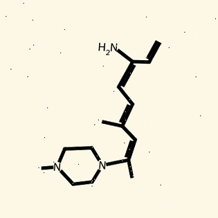 C=C\C(N)=C/C=C(C)/C=C(/C)N1CCN(C)CC1